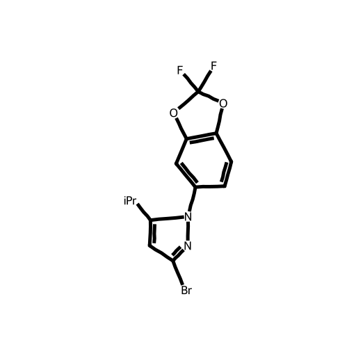 CC(C)c1cc(Br)nn1-c1ccc2c(c1)OC(F)(F)O2